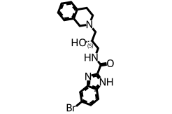 O=C(NC[C@H](O)CN1CCc2ccccc2C1)c1nc2cc(Br)ccc2[nH]1